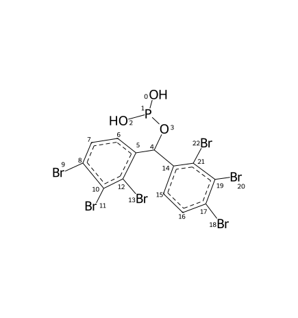 OP(O)OC(c1ccc(Br)c(Br)c1Br)c1ccc(Br)c(Br)c1Br